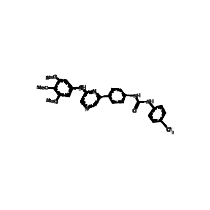 COc1cc(Nc2cncc(-c3ccc(NC(=O)Nc4ccc(C(F)(F)F)cc4)cc3)n2)cc(OC)c1OC